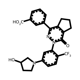 O=C(O)c1cccc(-c2nn(-c3cc(N4CCC(O)C4)ccc3C(F)(F)F)c(=O)c3c2CCC3)c1